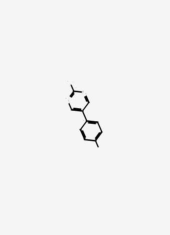 Cc1ccc(-c2cnc(C(F)(F)F)nc2)cc1